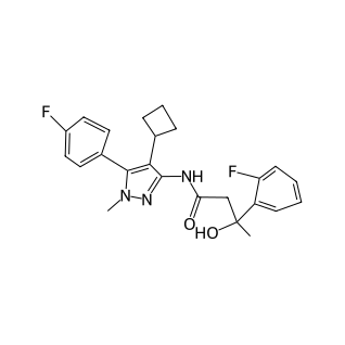 Cn1nc(NC(=O)CC(C)(O)c2ccccc2F)c(C2CCC2)c1-c1ccc(F)cc1